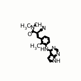 Cc1c(/C=C(\C#N)C(=O)N(C)C)cccc1Nc1ncnc2[nH]ccc12